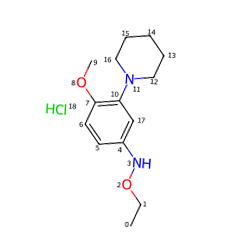 CCONc1ccc(OC)c(N2CCCCC2)c1.Cl